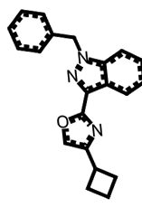 c1ccc(Cn2nc(-c3nc(C4CCC4)co3)c3ccccc32)cc1